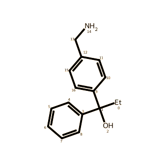 CCC(O)(c1ccccc1)c1ccc(CN)cc1